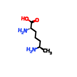 C[C@@H](N)CCC[C@H](N)C(=O)O